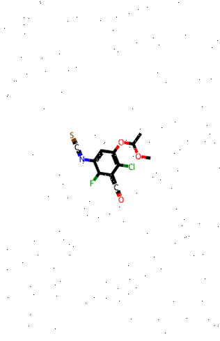 COC(C)OC1=C(Cl)C(=C=O)C(F)C(N=C=S)=C1